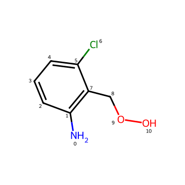 Nc1cccc(Cl)c1COO